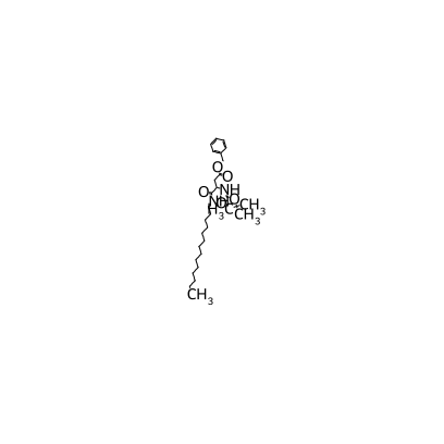 CCCCCCCCCCCCCCNC(=O)C(CC(=O)OCc1ccccc1)NC(=O)OC(C)(C)C